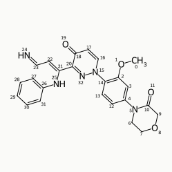 COc1cc(N2CCOCC2=O)ccc1-n1ccc(=O)c(/C(=C/C=N)Nc2ccccc2)n1